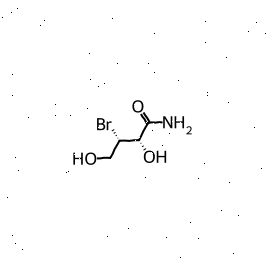 NC(=O)[C@H](O)[C@@H](Br)CO